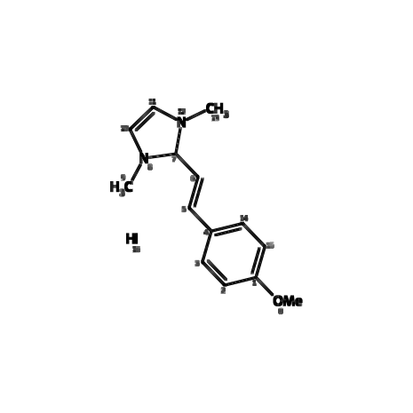 COc1ccc(C=CC2N(C)C=CN2C)cc1.I